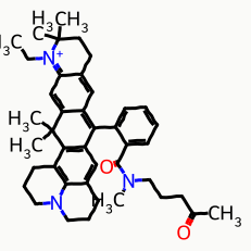 CC[N+]1=c2cc3c(cc2CCC1(C)C)=C(c1ccccc1C(=O)N(C)CCCC(C)=O)c1cc2c4c(c1C3(C)C)CCCN4CCC2